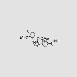 C=C(C=N)c1ccc(-n2ccn(Cc3cccc(F)c3OC)c2=O)nc1OC